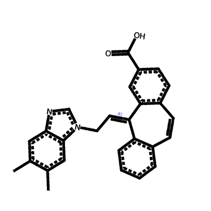 Cc1cc2ncn(C/C=C3\c4ccccc4C=Cc4ccc(C(=O)O)cc43)c2cc1C